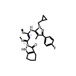 C=N/C(=C\C(=N/C)n1[nH]c2c(c1=O)CCCC2)Nc1c(C)c(-c2ccc(F)cc2)nn1CC1CC1